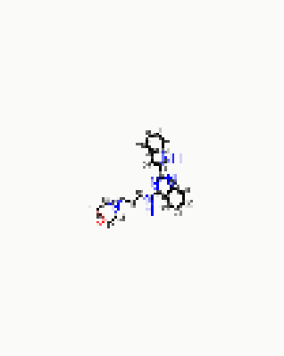 c1ccc2[nH]c(-c3nc(NCCCN4CCOCC4)c4ccccc4n3)cc2c1